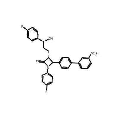 O=C1[C@H](CC[C@H](O)c2ccc(F)cc2)[C@@H](c2ccc(-c3cccc(S(=O)(=O)O)c3)cc2)N1c1ccc(F)cc1